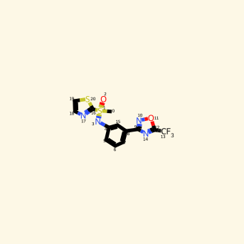 CS(=O)(=Nc1cccc(-c2noc(C(F)(F)F)n2)c1)c1nccs1